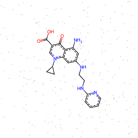 Nc1cc(NCCNc2ccccn2)cc2c1c(=O)c(C(=O)O)cn2C1CC1